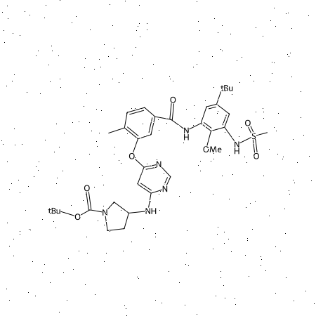 COc1c(NC(=O)c2ccc(C)c(Oc3cc(NC4CCN(C(=O)OC(C)(C)C)C4)ncn3)c2)cc(C(C)(C)C)cc1NS(C)(=O)=O